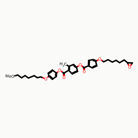 COCCCCCCCOc1ccc(OC(=O)c2ccc(OC(=O)c3ccc(OCCCCCCC4CO4)cc3)cc2C)cc1